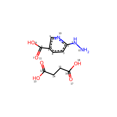 NNc1ccc(C(=O)O)cn1.O=C(O)CCC(=O)O